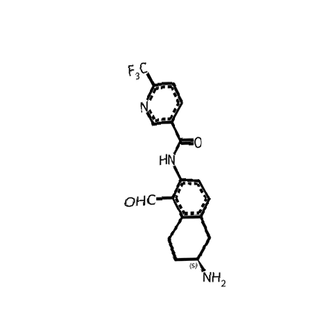 N[C@H]1CCc2c(ccc(NC(=O)c3ccc(C(F)(F)F)nc3)c2C=O)C1